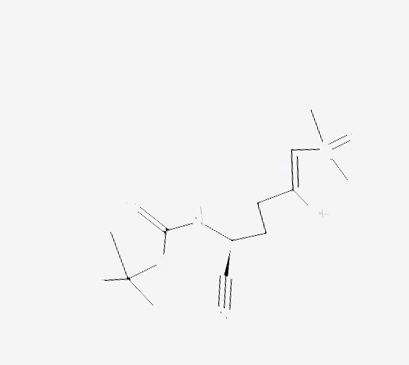 CC(C)(I)OC(=O)N[C@H](C#N)CC/C(O)=C/[SH](C)(C)=O